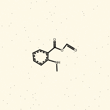 CNc1ccccc1C(=O)OC=O